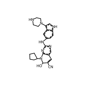 N#CC1=Cc2cnc(Nc3ccc4[nH]cc(N5CCNCC5)c4c3)nc2N(C2CCCC2)C1O